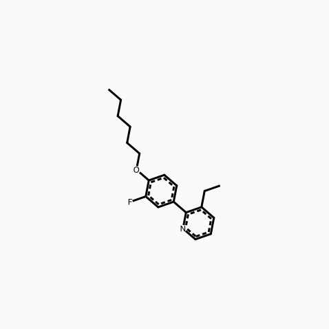 CCCCCCOc1ccc(-c2ncccc2CC)cc1F